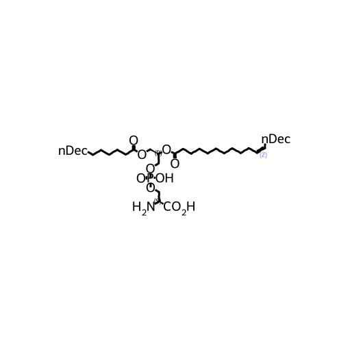 CCCCCCCCCC/C=C\CCCCCCCCCC(=O)O[C@H](COC(=O)CCCCCCCCCCCCCCC)COP(=O)(O)OC[C@H](N)C(=O)O